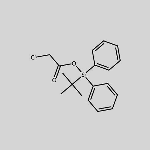 CC(C)(C)[Si](OC(=O)CCl)(c1ccccc1)c1ccccc1